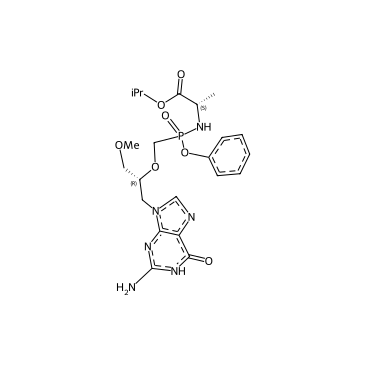 COC[C@@H](Cn1cnc2c(=O)[nH]c(N)nc21)OCP(=O)(N[C@@H](C)C(=O)OC(C)C)Oc1ccccc1